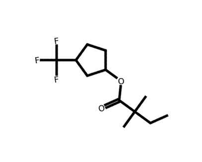 CCC(C)(C)C(=O)OC1CCC(C(F)(F)F)C1